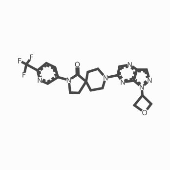 O=C1N(c2ccc(C(F)(F)F)nc2)CCC12CCN(c1cnc3cnn(C4COC4)c3n1)CC2